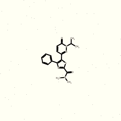 CC(C)n1nc(-c2sc(C(=O)N(C)C)nc2-c2ccccc2)ccc1=O